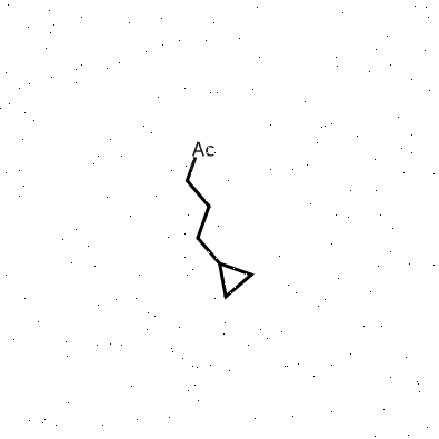 CC(=O)CCCC1CC1